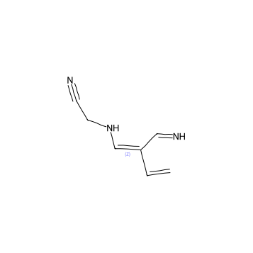 C=C/C(C=N)=C/NCC#N